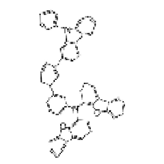 C1=CC(c2ccc3c4ccccc4n(-c4ccccc4)c3c2)=CC(c2cccc(N(C3=c4oc5ccccc5c4=CCC3)c3cccc4c3oc3ccccc34)c2)C1